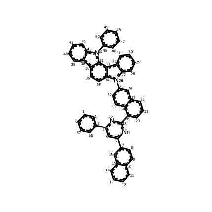 c1ccc(-c2cc(-c3ccc4ccccc4c3)nc(-c3cccc4cc(-n5c6ccccc6c6c5ccc5c7ccccc7n(-c7ccccc7)c56)ccc34)n2)cc1